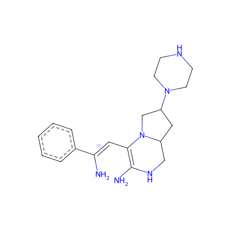 NC1=C(/C=C(\N)c2ccccc2)N2CC(N3CCNCC3)CC2CN1